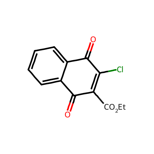 CCOC(=O)C1=C(Cl)C(=O)c2ccccc2C1=O